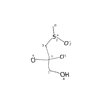 C[S+]([O-])CC(Cl)(Cl)CO